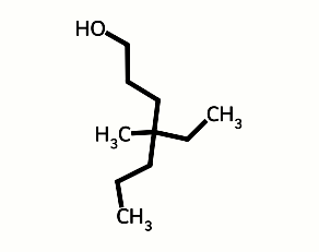 CCCC(C)(CC)CCCO